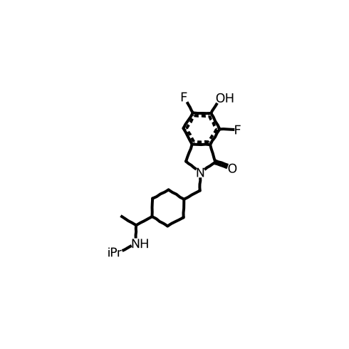 CC(C)NC(C)C1CCC(CN2Cc3cc(F)c(O)c(F)c3C2=O)CC1